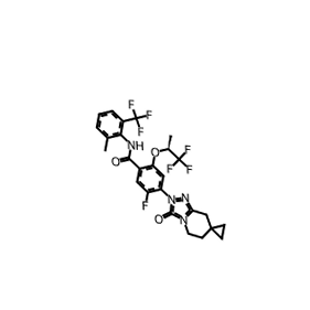 Cc1cccc(C(F)(F)F)c1NC(=O)c1cc(F)c(-n2nc3n(c2=O)CCC2(CC2)C3)cc1O[C@@H](C)C(F)(F)F